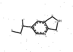 CCC(C)c1cnc2c(c1)CNC2